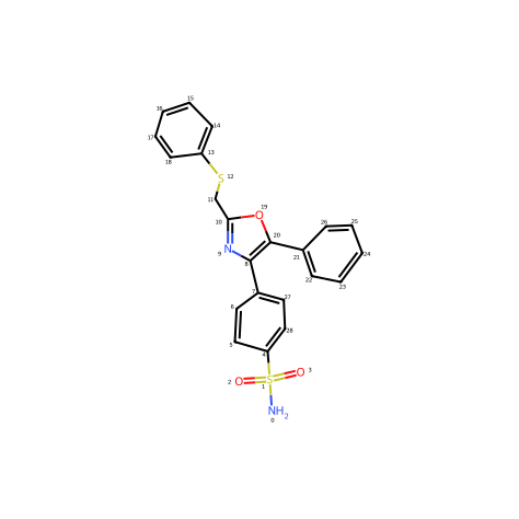 NS(=O)(=O)c1ccc(-c2nc(CSc3ccccc3)oc2-c2ccccc2)cc1